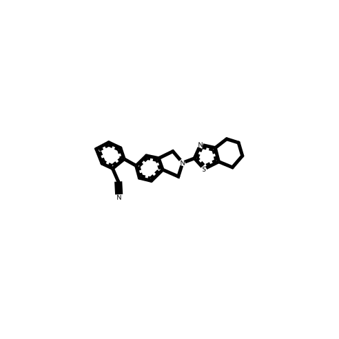 N#Cc1ccccc1-c1ccc2c(c1)CN(c1nc3c(s1)CCCC3)C2